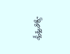 O=C(O)c1cc(Nc2nccc(-c3ccn(C(CO)c4ccc(Cl)c(F)c4)c(=O)c3)n2)ccn1